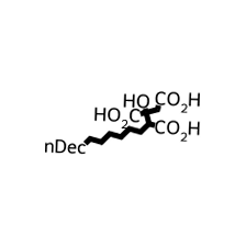 CCCCCCCCCCCCCCCCC(C(=O)O)C(O)(CC(=O)O)C(=O)O